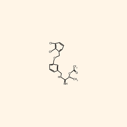 CN(OC(=O)C(F)(F)F)C(=N)NCc1cccc(OCc2cccc(Cl)c2Cl)c1